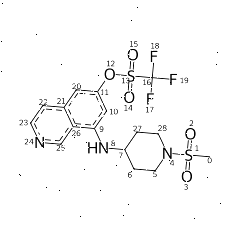 CS(=O)(=O)N1CCC(Nc2cc(OS(=O)(=O)C(F)(F)F)cc3ccncc23)CC1